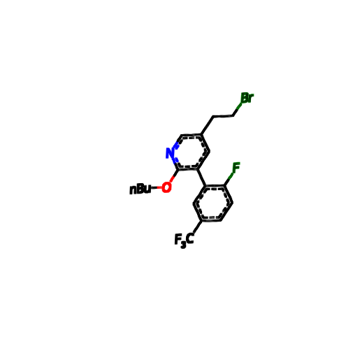 CCCCOc1ncc(CCBr)cc1-c1cc(C(F)(F)F)ccc1F